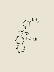 Cl.Cl.NC1CCN(S(=O)(=O)c2ccc3cnccc3c2)C1